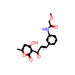 COCC(=O)Nc1cccc(/C=C/C(=O)c2c(O)cc(C)oc2=O)c1